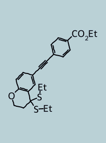 CCOC(=O)c1ccc(C#Cc2ccc3c(c2)C(SCC)(SCC)CCO3)cc1